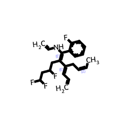 C=C/C=C(C/C=C\C)/C(CC(F)CC(F)F)=C(/NC=C)c1ccccc1F